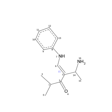 CC(C)C(=O)/C(=C/Nc1ccccc1)C(C)N